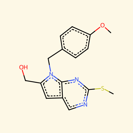 COc1ccc(Cn2c(CO)cc3cnc(SC)nc32)cc1